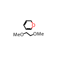 C1=CCOC=C1.COCCOC